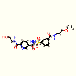 COCCCNC(=O)c1cccc(S(=O)(=O)NC(=O)c2ccc(C(=O)NCCO)nc2)c1